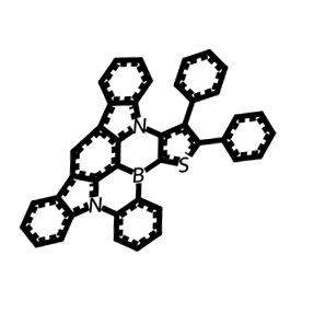 c1ccc(-c2sc3c(c2-c2ccccc2)-n2c4ccccc4c4cc5c6ccccc6n6c5c(c42)B3c2ccccc2-6)cc1